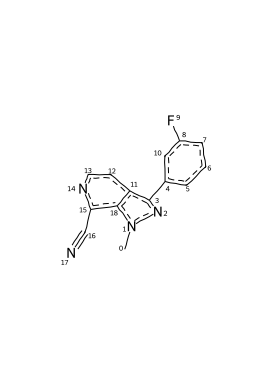 Cn1nc(-c2cccc(F)c2)c2ccnc(C#N)c21